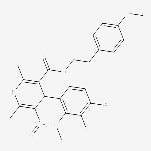 COc1ccc(CCOC(=O)C2=C(C)NC(C)=C([N+](=O)[O-])C2c2ccc(F)c(F)c2OC)cc1